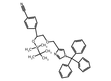 CC(C)(C)[Si](C)(C)OC(COCc1cn(C(c2ccccc2)(c2ccccc2)c2ccccc2)cn1)c1ccc(C#N)cc1